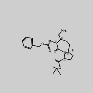 CC(C)(C)OC(=O)[C@@H]1CC[C@@H]2CC[C@H](CN)[C@H](NC(=O)OCc3ccccc3)C(=O)N21